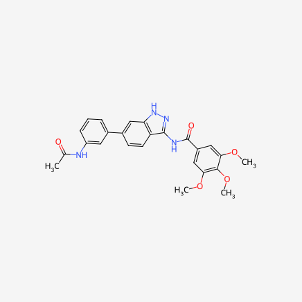 COc1cc(C(=O)Nc2n[nH]c3cc(-c4cccc(NC(C)=O)c4)ccc23)cc(OC)c1OC